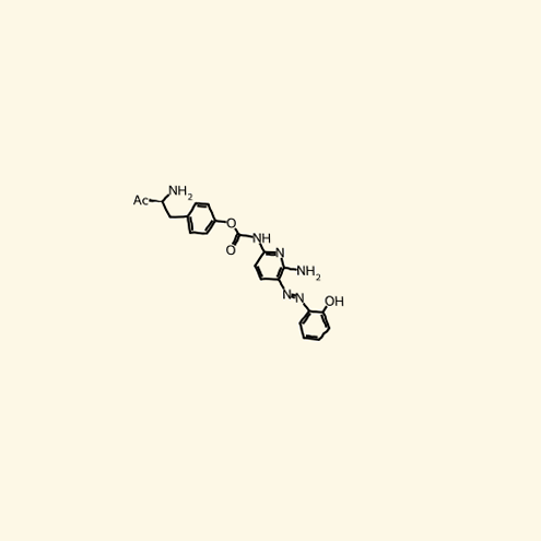 CC(=O)[C@@H](N)Cc1ccc(OC(=O)Nc2ccc(/N=N/c3ccccc3O)c(N)n2)cc1